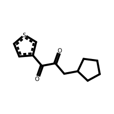 O=C(CC1CCCC1)C(=O)c1ccsc1